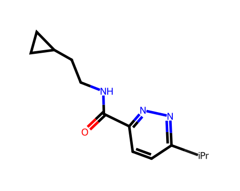 CC(C)c1ccc(C(=O)NCCC2CC2)nn1